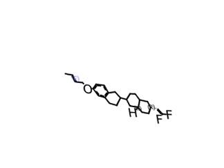 C/C=C/COc1ccc2c(c1)CCC(C1CCC3C[C@H](C=C(F)F)CC[C@@H]3C1)C2